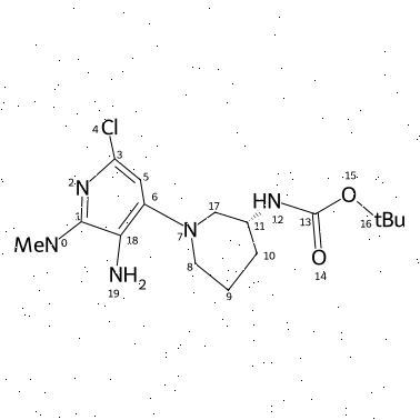 CNc1nc(Cl)cc(N2CCC[C@@H](NC(=O)OC(C)(C)C)C2)c1N